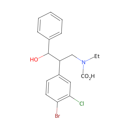 CCN(CC(c1ccc(Br)c(Cl)c1)C(O)c1ccccc1)C(=O)O